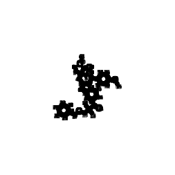 CCC(C)(Cc1cc2cc(C(=O)C(C)(C)COCc3ccccc3)ccn2c1C(=O)c1ccc(OC)cc1)C(=O)OC